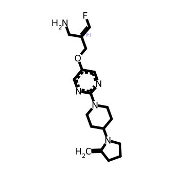 C=C1CCCN1C1CCN(c2ncc(OC/C(=C/F)CN)cn2)CC1